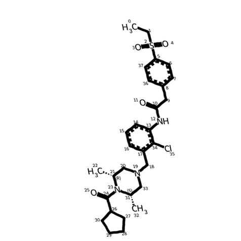 CCS(=O)(=O)c1ccc(CC(=O)Nc2cccc(CN3C[C@@H](C)N(C(=O)C4CCCC4)[C@@H](C)C3)c2Cl)cc1